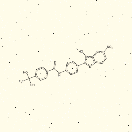 O=C(Nc1ccc(-c2nc3ccc([N+](=O)[O-])cc3n2O)cc1)c1ccc(C(O)(O)C(F)(F)F)cc1